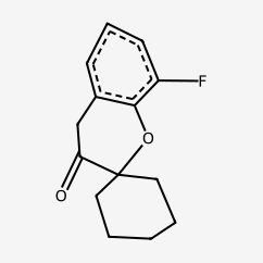 O=C1Cc2cccc(F)c2OC12CCCCC2